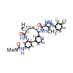 CNC(=O)Nc1ccc2c(c1)NC(=O)[C@H](C)CCC[C@H](NC(=O)c1nnn(-c3cccc(Cl)c3F)c1C)c1cc-2ccn1